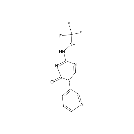 O=c1nc(NNC(F)(F)F)ncn1-c1cccnc1